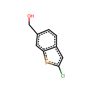 OCc1ccc2cc(Cl)sc2c1